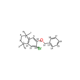 CC1(C)CCC(C)(C)c2cc(OCc3ccccc3)c(Br)cc21